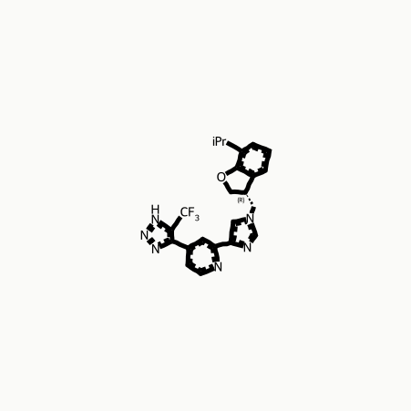 CC(C)c1cccc2c1OC[C@H]2Cn1cnc(-c2cc(-c3nn[nH]c3C(F)(F)F)ccn2)c1